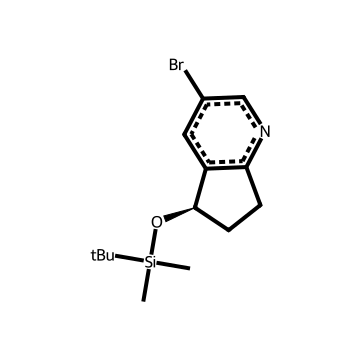 CC(C)(C)[Si](C)(C)O[C@@H]1CCc2ncc(Br)cc21